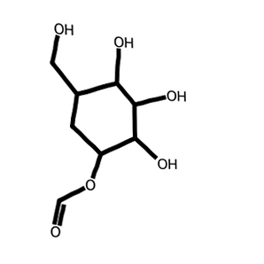 O=COC1CC(CO)C(O)C(O)C1O